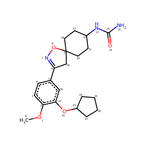 COc1ccc(C2=NOC3(CCC(NC(N)=O)CC3)C2)cc1OC1CCCC1